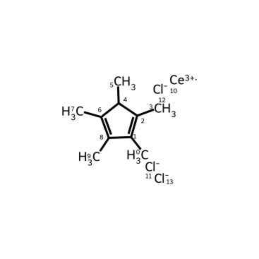 CC1=C(C)C(C)C(C)=C1C.[Ce+3].[Cl-].[Cl-].[Cl-]